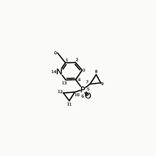 Cc1ccc(P(=O)(C2CC2)C2CC2)cn1